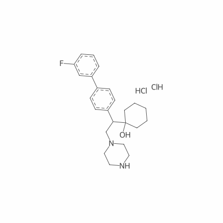 Cl.Cl.OC1(C(CN2CCNCC2)c2ccc(-c3cccc(F)c3)cc2)CCCCC1